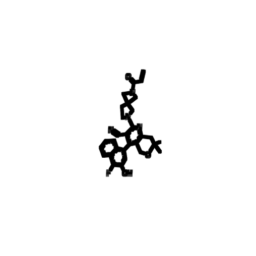 C=CC(=O)N1CC2(CCN(c3nc4c(c(-c5cc(O)c(F)c6ccccc56)c3C#N)COC(C)(C)C4)C2)C1